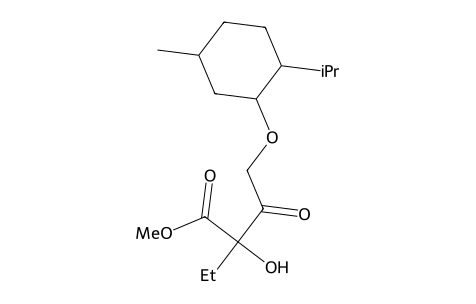 CCC(O)(C(=O)COC1CC(C)CCC1C(C)C)C(=O)OC